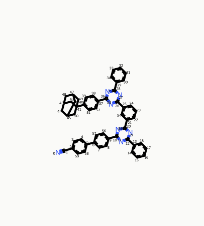 N#Cc1ccc(-c2ccc(-c3nc(-c4ccccc4)nc(-c4cccc(-c5nc(-c6ccccc6)nc(-c6ccc(C78CC9CC(CC(C9)C7)C8)cc6)n5)c4)n3)cc2)cc1